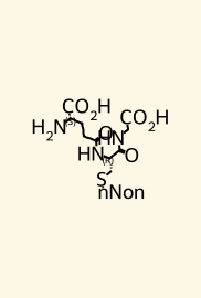 CCCCCCCCCSC[C@H](NC(=O)CC[C@H](N)C(=O)O)C(=O)NCC(=O)O